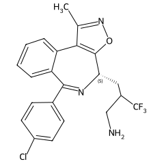 Cc1noc2c1-c1ccccc1C(c1ccc(Cl)cc1)=N[C@H]2CC(CN)C(F)(F)F